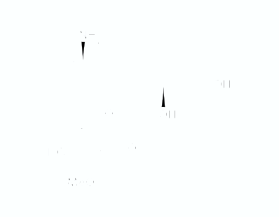 COC(=O)C1(O)CC[C@@H](N)[C@H](C[C@H](O)CO)O1